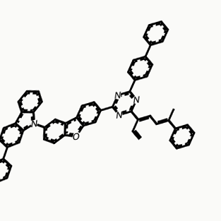 C=C/C(=C\C=C(/C)c1ccccc1)c1nc(-c2ccc(-c3ccccc3)cc2)nc(-c2ccc3c(c2)oc2ccc(-n4c5ccccc5c5ccc(-c6ccccc6)cc54)cc23)n1